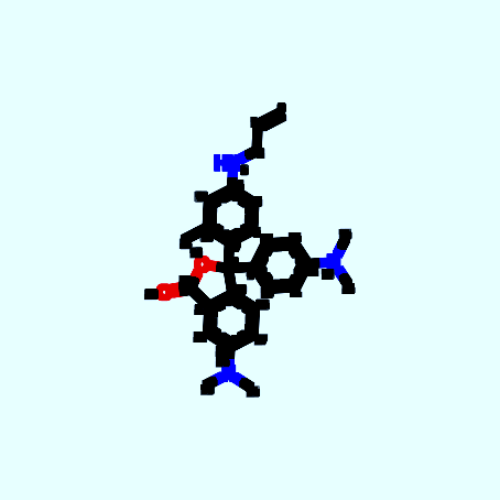 C=CCNc1ccc(C2(c3ccc(N(C)C)cc3)OC(=O)c3cc(N(C)C)ccc32)c(C)c1